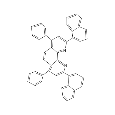 c1ccc(-c2cc(-c3cccc4ccccc34)nc3c2ccc2c(-c4ccccc4)cc(-c4cccc5ccccc45)nc23)cc1